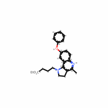 CCOC(=O)CCCN1CCc2c(C)nc3ccc(Oc4ccccc4)cc3c21